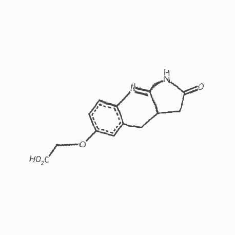 O=C(O)COc1ccc2c(c1)CC1CC(=O)NC1=N2